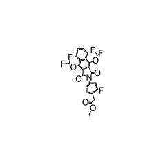 CCOC(=O)Cc1ccc(N2C(=O)c3c(c(OC(F)F)c4ccccc4c3OC(F)F)C2=O)cc1F